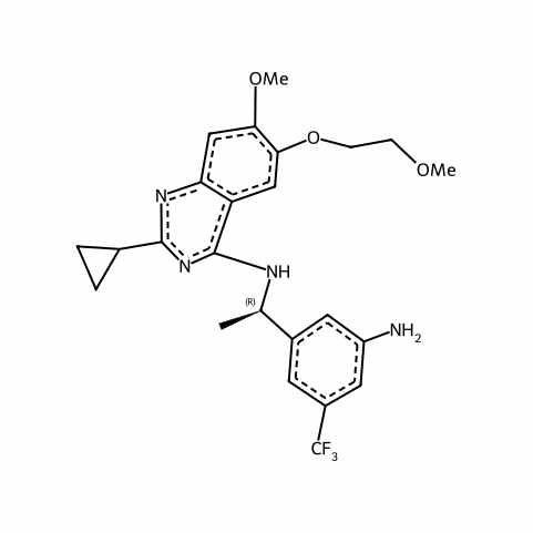 COCCOc1cc2c(N[C@H](C)c3cc(N)cc(C(F)(F)F)c3)nc(C3CC3)nc2cc1OC